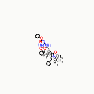 C[SiH](C)C1(CCCCNC(=NC(=O)Oc2ccccc2)NC(=O)Oc2ccccc2)C(=O)N(C(C)(C)C)C1C=Cc1ccccc1